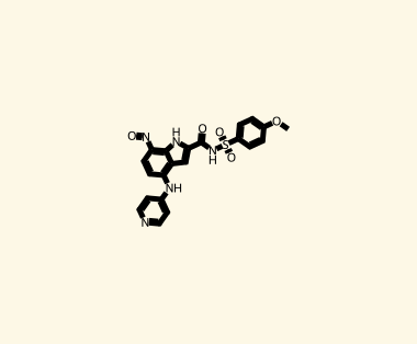 COc1ccc(S(=O)(=O)NC(=O)c2cc3c(Nc4ccncc4)ccc(N=O)c3[nH]2)cc1